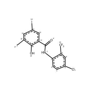 O=C(Nc1ccc(Cl)cc1C(F)(F)F)c1cc(I)cc(I)c1O